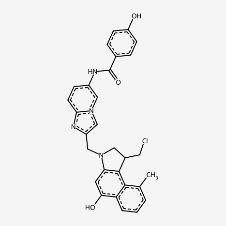 Cc1cccc2c(O)cc3c(c12)C(CCl)CN3Cc1cn2cc(NC(=O)c3ccc(O)cc3)ccc2n1